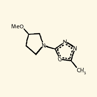 COC1CCN(c2nnc(C)o2)C1